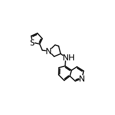 c1csc(CN2CCC(Nc3cccc4cnccc34)C2)c1